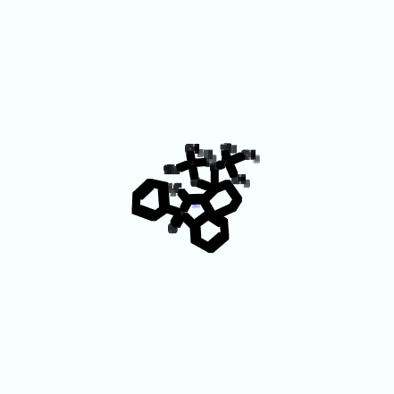 C/C(=C1/CCCCC1(O[Si](C)(C)C(C)(C)C)O[Si](C)(C)C(C)(C)C)P(=O)(c1ccccc1)c1ccccc1